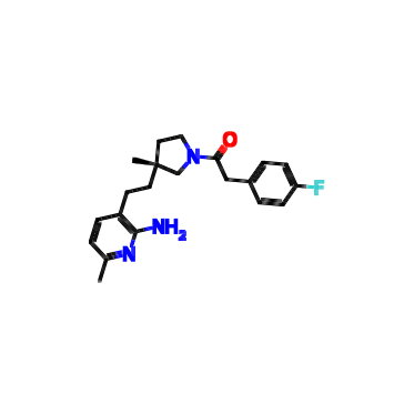 Cc1ccc(CC[C@]2(C)CCN(C(=O)Cc3ccc(F)cc3)C2)c(N)n1